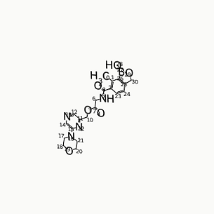 Cc1c(C(=O)NCC(=O)OCc2cncc(N3CCOCC3)n2)ccc2c1B(O)OC2